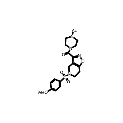 COc1ccc(S(=O)(=O)N2CCc3onc(C(=O)N4CCN(C(C)=O)CC4)c3C2)cc1